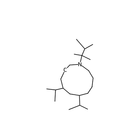 CC(C)C1CCCCN(C(C)(C)C(C)C)CCCC(C(C)C)C1